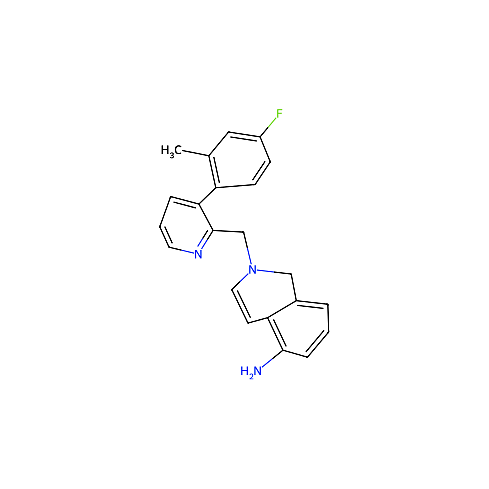 Cc1cc(F)ccc1-c1cccnc1CN1C=Cc2c(N)cccc2C1